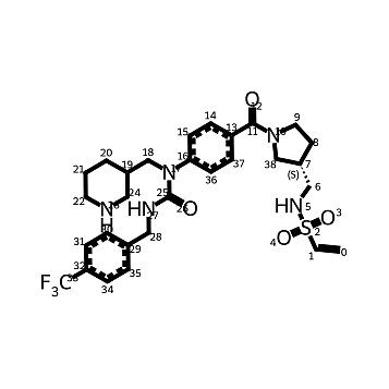 C=CS(=O)(=O)NC[C@H]1CCN(C(=O)c2ccc(N(CC3CCCNC3)C(=O)NCc3ccc(C(F)(F)F)cc3)cc2)C1